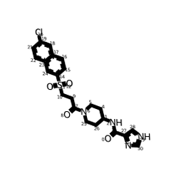 O=C(NC1CCN(C(=O)CCS(=O)(=O)c2ccc3cc(Cl)ccc3c2)CC1)c1c[nH]cn1